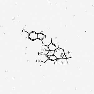 CC1=C[C@]23C(=O)[C@@H](C=C(CO)[C@@H](O)[C@]2(O)[C@H]1Oc1noc2cc(Cl)ccc12)[C@H]1[C@@H](C[C@H]3C)C1(C)C